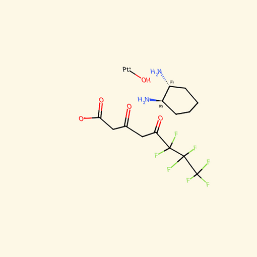 N[C@@H]1CCCC[C@H]1N.O=C([O-])CC(=O)CC(=O)C(F)(F)C(F)(F)C(F)(F)F.[OH][Pt+]